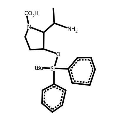 CC(N)C1C(O[Si](c2ccccc2)(c2ccccc2)C(C)(C)C)CCN1C(=O)O